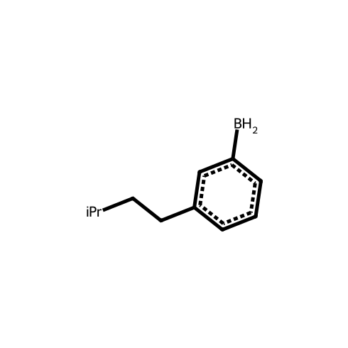 Bc1cccc(CCC(C)C)c1